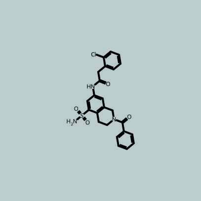 NS(=O)(=O)c1cc(NC(=O)Cc2ccccc2Cl)cc2c1CCN(C(=O)c1ccccc1)C2